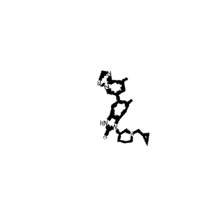 Cc1cc2c(cc1-c1cc(C)c3ncnn3c1)[nH]c(=O)n2C1CCCN(CC2CC2)C1